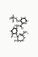 C[C@]1(c2cc(NC(=O)c3ncccc3OCC(F)(F)F)ccc2F)N=C(N)COC[C@@H]1F